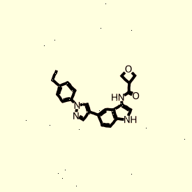 CCc1ccc(-n2cc(-c3ccc4[nH]cc(NC(=O)C5COC5)c4c3)cn2)cc1